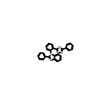 c1ccc(-c2nnc(-c3ccccc3-n3c(-c4ccccc4)nc4ccccc43)o2)cc1